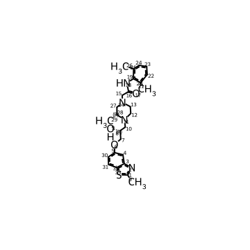 Cc1nc2cc(OC[C@H](O)CN3CCN(CC(=O)Nc4c(C)cccc4C)C[C@H]3C)ccc2s1